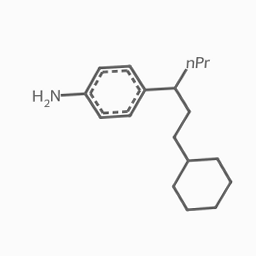 CCCC(CCC1CCCCC1)c1ccc(N)cc1